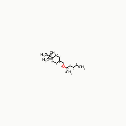 CCCCC(C)OCC1CCC(C(C)(C)C)CC1